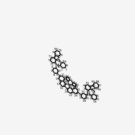 c1ccc(N(c2cccc(-c3ccc4c5c(ccc4c3)-c3ccc4cc(-c6cccc(N(c7ccccc7)c7cccc8c7sc7ccccc78)c6)ccc4c3C53c4ccccc4-c4ccccc43)c2)c2cccc3c2sc2ccccc23)cc1